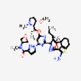 CCCc1c(-c2nc(O[C@@H](C)[C@@H]3[C@@H](OC)CCN3C)cc(-n3ccc(C(=O)N(C)C4COC4)n3)n2)noc1[C@@]1(C)CCCc2sc(N)c(C#N)c21